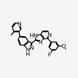 COc1cc(F)cc(-c2nccc3[nH]c(-c4n[nH]c5ccc(-c6cnccc6C)cc45)nc23)c1